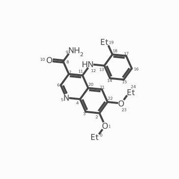 CCOc1cc2ncc(C(N)=O)c(Nc3ccccc3CC)c2cc1OCC